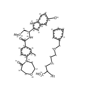 CCC(COCCOCc1ccccc1)C(=O)O.COC[C@H](NC(=O)c1ccc(N2CCOCCC2=O)c(C)c1)c1nc2cc(Cl)ccc2[nH]1